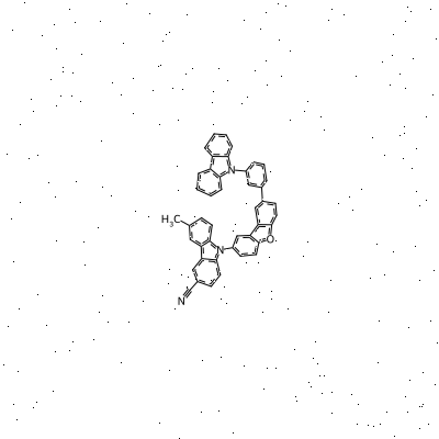 Cc1ccc2c(c1)c1cc(C#N)ccc1n2-c1ccc2oc3ccc(-c4cccc(-n5c6ccccc6c6ccccc65)c4)cc3c2c1